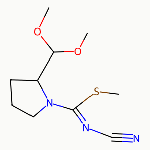 COC(OC)C1CCCN1C(=NC#N)SC